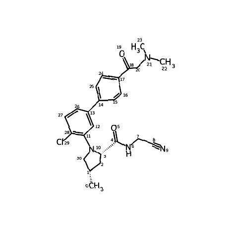 C[C@H]1C[C@@H](C(=O)NCC#N)N(c2cc(-c3ccc(C(=O)CN(C)C)cc3)ccc2Cl)C1